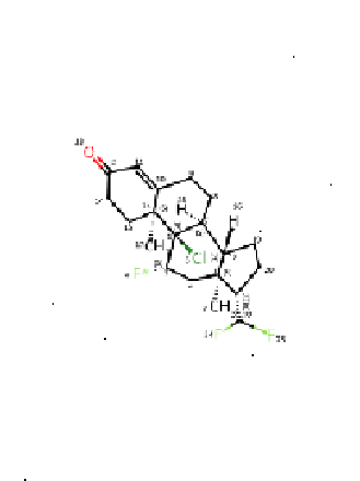 C[C@]12C[C@H](F)[C@@]3(Cl)[C@@H](CCC4=CC(=O)CC[C@@]43C)[C@@H]1CC[C@@H]2C(F)F